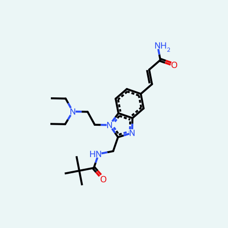 CCN(CC)CCn1c(CNC(=O)C(C)(C)C)nc2cc(/C=C/C(N)=O)ccc21